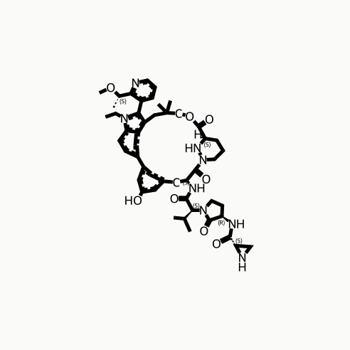 CCn1c(-c2cccnc2[C@H](C)OC)c2c3cc(ccc31)-c1cc(O)cc(c1)C[C@H](NC(=O)[C@H](C(C)C)N1CC[C@@H](NC(=O)[C@@H]3CN3)C1=O)C(=O)N1CCC[C@H](N1)C(=O)OCC(C)(C)C2